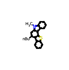 CCCCc1cc2c(c3ccccc3n2C)c2sc3ccccc3c12